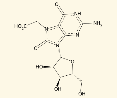 Nc1nc2c(c(=O)[nH]1)n(CC(=O)O)c(=O)n2[C@@H]1O[C@H](CO)[C@@H](O)[C@H]1O